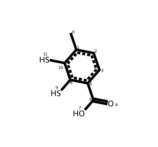 Cc1ccc(C(=O)O)c(S)c1S